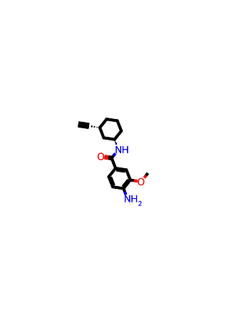 C#C[C@@H]1CCC[C@H](NC(=O)c2ccc(N)c(OC)c2)C1